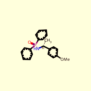 COc1ccc([C@@H](C)NP(=O)(c2ccccc2)c2ccccc2)cc1